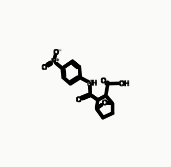 O=C(O)C1C2CCC(O2)C1C(=O)Nc1ccc([N+](=O)[O-])cc1